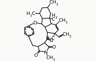 C=CC1(C)C=C(C)C2C3C(Oc4ccc(cc4)CC4C(=O)N(C)C(=O)C4C(=O)C31)C1C(C)CC(C)CC21C